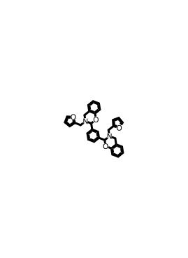 c1cc(C2Oc3ccccc3CN2Cc2ccco2)cc(C2Oc3ccccc3CN2Cc2ccco2)c1